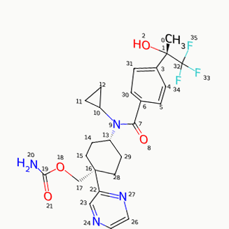 C[C@](O)(c1ccc(C(=O)N(C2CC2)[C@H]2CC[C@](COC(N)=O)(c3cnccn3)CC2)cc1)C(F)(F)F